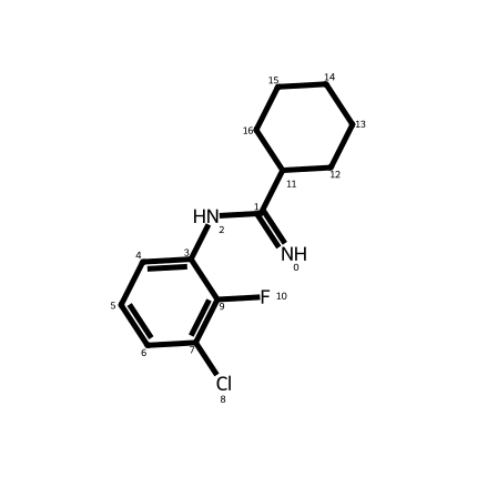 N=C(Nc1cccc(Cl)c1F)C1CCCCC1